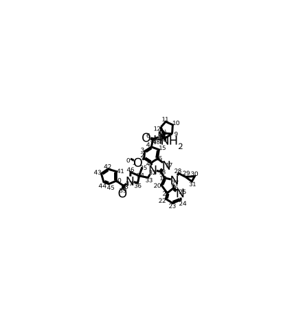 COc1cc(C(=O)N2CC3CCC2[C@@H]3N)cc2nc(-c3cc4cccnc4n3CC3CC3)n(CC3(C)CN(C(=O)c4ccccc4)C3)c12